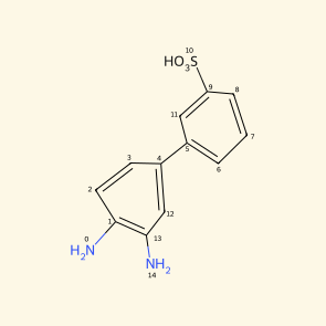 Nc1ccc(-c2cccc(S(=O)(=O)O)c2)cc1N